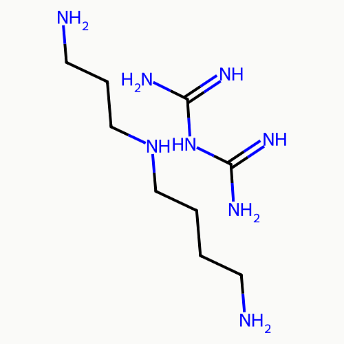 N=C(N)NC(=N)N.NCCCCNCCCN